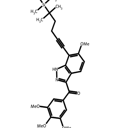 COc1cc(C(=O)c2n[nH]c3c(C#CCCC(C)(C)[Si](C)(C)O)c(OC)ccc23)cc(OC)c1OC